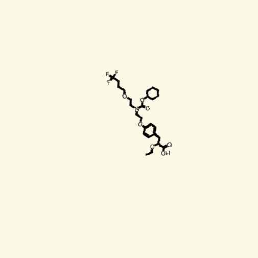 CCOC(Cc1ccc(OCCN(CCOCCCC(F)(F)F)C(=O)OC2CCCCC2)cc1)C(=O)O